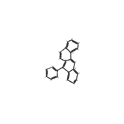 c1ccc(-c2c3ccccc3cc3c2ccc2ccccc23)cc1